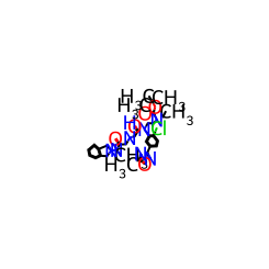 CCN(CCN(C(=O)CNCC(=O)N(C)N1Cc2ccccc2C1)c1cc(-c2noc(C)n2)ccc1Cl)C(=O)OC(C)(C)C